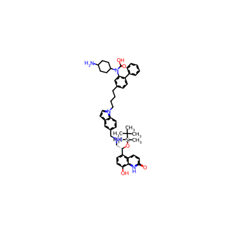 CC(C)(C)[Si](C)(C)O[C@@H](CNCc1ccc2c(ccn2CCCCc2ccc(-c3ccccc3)c(N(C(=O)O)C3CCC(N)CC3)c2)c1)c1ccc(O)c2[nH]c(=O)ccc12